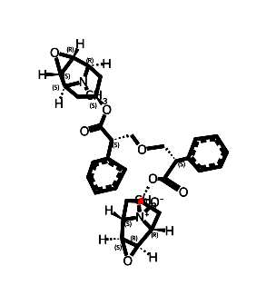 CN1[C@@H]2C[C@@H](OC(=O)[C@H](COC[C@@H](C(=O)O[C@@H]3C[C@@H]4[C@H]5O[C@H]5[C@H](C3)[N+]4(C)[O-])c3ccccc3)c3ccccc3)C[C@H]1[C@@H]1O[C@@H]12